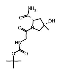 CC(C)(C)OC(=O)NCC(=O)N1C[C@](O)(I)C[C@H]1C(N)=O